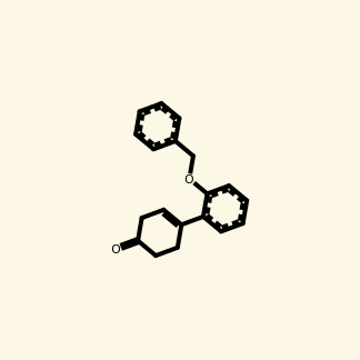 O=C1CC=C(c2ccccc2OCc2ccccc2)CC1